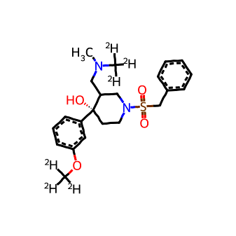 [2H]C([2H])([2H])Oc1cccc([C@]2(O)CCN(S(=O)(=O)Cc3ccccc3)CC2CN(C)C([2H])([2H])[2H])c1